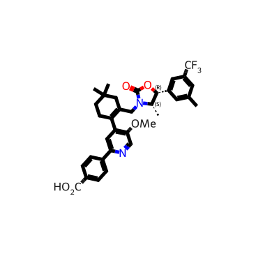 COc1cnc(-c2ccc(C(=O)O)cc2)cc1C1=C(CN2C(=O)O[C@H](c3cc(C)cc(C(F)(F)F)c3)[C@@H]2C)CC(C)(C)CC1